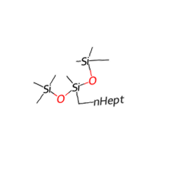 CCCCCCCC[Si](C)(O[Si](C)(C)C)O[Si](C)(C)C